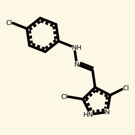 Clc1ccc(NN=Cc2c(Cl)n[nH]c2Cl)cc1